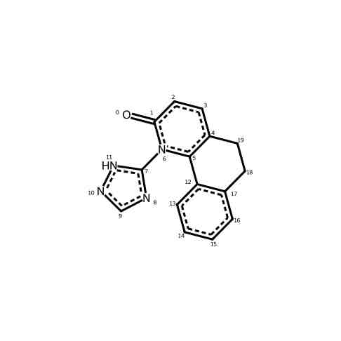 O=c1ccc2c(n1-c1ncn[nH]1)-c1ccccc1CC2